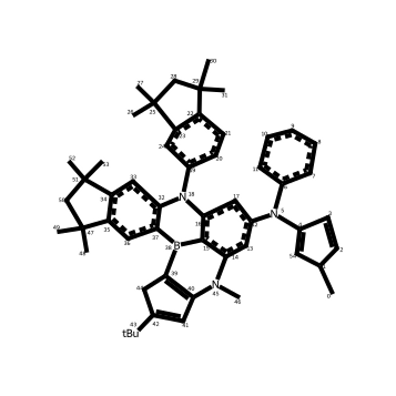 CC1C=CC(N(c2ccccc2)c2cc3c4c(c2)N(c2ccc5c(c2)C(C)(C)CC5(C)C)c2cc5c(cc2B4C2=C(C=C(C(C)(C)C)C2)N3C)C(C)(C)CC5(C)C)=C1